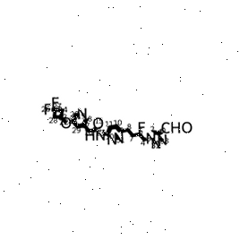 O=Cc1cn(CC(F)CCc2ccc(NC(=O)Cc3cncc(OC4CC(F)(F)C4)c3)nn2)nn1